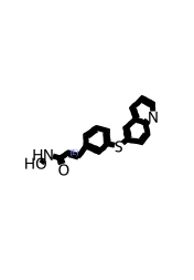 O=C(/C=C/c1cccc(Sc2ccc3ncccc3c2)c1)NO